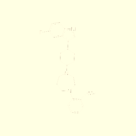 COc1ccccc1N1CCCN(C2CCC(c3c[nH]c4ccc(F)cc34)CC2)CC1